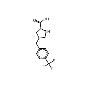 O=C(O)[C@@H]1CC(Cc2ccc(C(F)(F)F)cc2)CN1